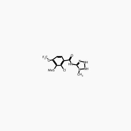 CSc1c(OC(F)(F)F)ccc(C(=O)NC2=NNNN2C)c1Cl